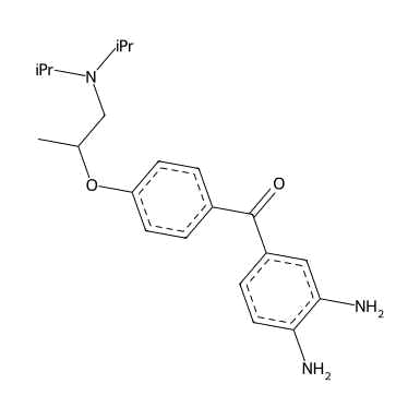 CC(CN(C(C)C)C(C)C)Oc1ccc(C(=O)c2ccc(N)c(N)c2)cc1